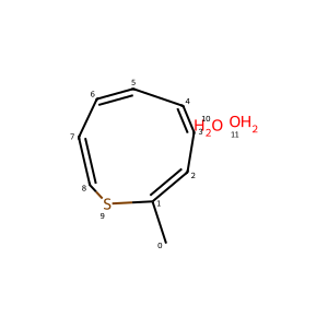 Cc1cccccccs1.O.O